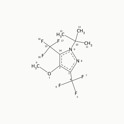 COc1c(C(F)(F)F)nn(C(C)(C)C)c1C(F)(F)F